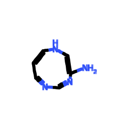 Nc1c[nH]cccncn1